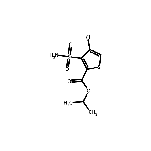 CC(C)OC(=O)c1scc(Cl)c1S(N)(=O)=O